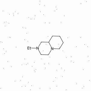 CCN1CCN2CCCCC2C1